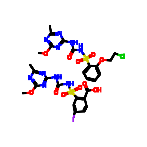 COc1nc(C)nc(NC(=O)NS(=O)(=O)c2cc(I)ccc2C(=O)O)n1.COc1nc(C)nc(NC(=O)NS(=O)(=O)c2ccccc2OCCCl)n1